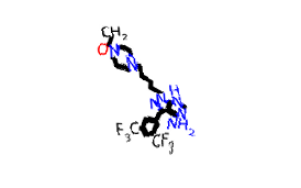 C=CC(=O)N1CCCN(CCCCCN2N=C(c3cc(C(F)(F)F)cc(C(F)(F)F)c3)C3=C(N)N=CNC32)CC1